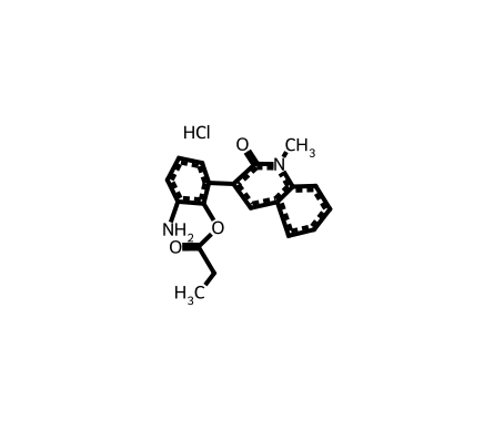 CCC(=O)Oc1c(N)cccc1-c1cc2ccccc2n(C)c1=O.Cl